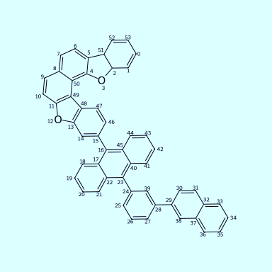 C1=CC2Oc3c(ccc4ccc5oc6cc(-c7c8ccccc8c(-c8cccc(-c9ccc%10ccccc%10c9)c8)c8ccccc78)ccc6c5c34)C2C=C1